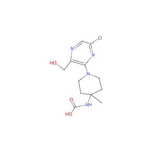 CC1(NC(=O)O)CCN(c2nc(Cl)cnc2CO)CC1